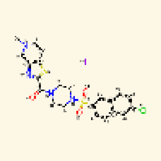 C[n+]1ccc2sc(C(=O)N3CCN(S(=O)(=O)c4ccc5cc(Cl)ccc5c4)CC3)nc2c1.[I-]